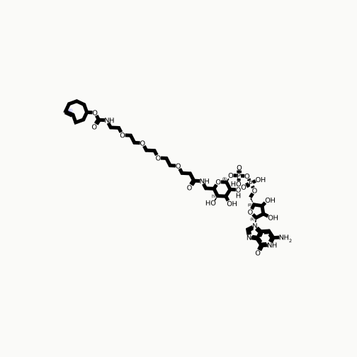 Nc1cc2c(ncn2[C@@H]2O[C@H](COP(=O)(O)OP(=O)(O)O[C@H]3OC(CNC(=O)CCOCCOCCOCCOCCNC(=O)OC4CC/C=C/CCC4)[C@@H](O)C(O)C3O)C(O)C2O)c(=O)[nH]1